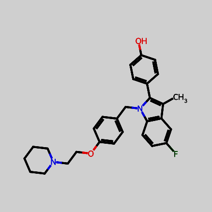 Cc1c(-c2ccc(O)cc2)n(Cc2ccc(OCCN3CCCCC3)cc2)c2ccc(F)cc12